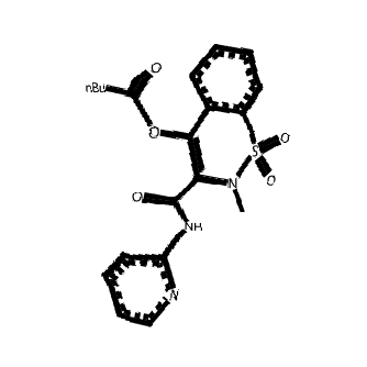 CCCCC(=O)OC1=C(C(=O)Nc2ccccn2)N(C)S(=O)(=O)c2ccccc21